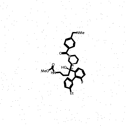 CCc1cccc(-c2c(F)cccc2[C@](O)(CCCNC(=O)OC)[C@@H]2CCCN(C(=O)c3ccc(CNC)cc3)C2)c1